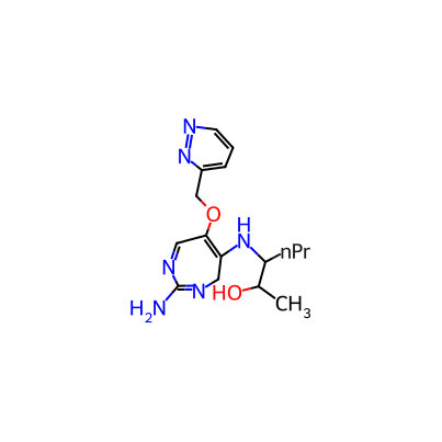 CCCC(NC1=C(OCc2cccnn2)C=NC(N)=NC1)C(C)O